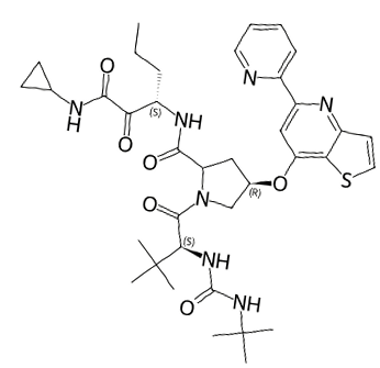 CCC[C@H](NC(=O)C1C[C@@H](Oc2cc(-c3ccccn3)nc3ccsc23)CN1C(=O)[C@@H](NC(=O)NC(C)(C)C)C(C)(C)C)C(=O)C(=O)NC1CC1